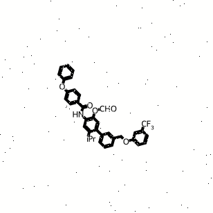 CC(C)c1cc(NC(=O)c2ccc(Oc3ccccc3)cc2)c(OC=O)cc1-c1cccc(COc2cccc(C(F)(F)F)c2)c1